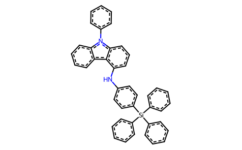 c1ccc(-n2c3ccccc3c3c(Nc4ccc([Si](c5ccccc5)(c5ccccc5)c5ccccc5)cc4)cccc32)cc1